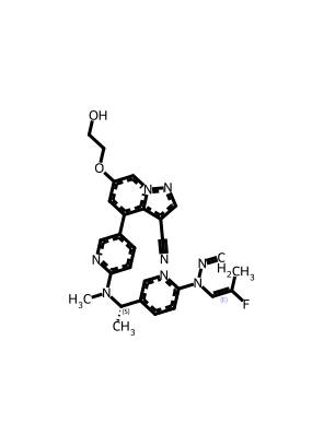 C=NN(/C=C(\C)F)c1ccc([C@H](C)N(C)c2ccc(-c3cc(OCCO)cn4ncc(C#N)c34)cn2)cn1